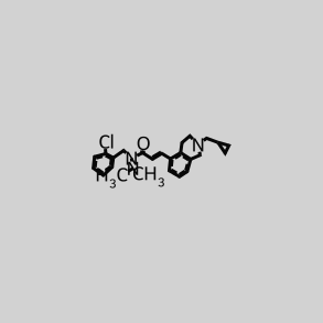 CN(C)N(Cc1ccccc1Cl)C(=O)C=Cc1cccc2c1CCN(CC1CC1)C2